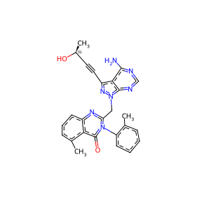 Cc1ccccc1-n1c(Cn2nc(C#C[C@H](C)O)c3c(N)ncnc32)nc2cccc(C)c2c1=O